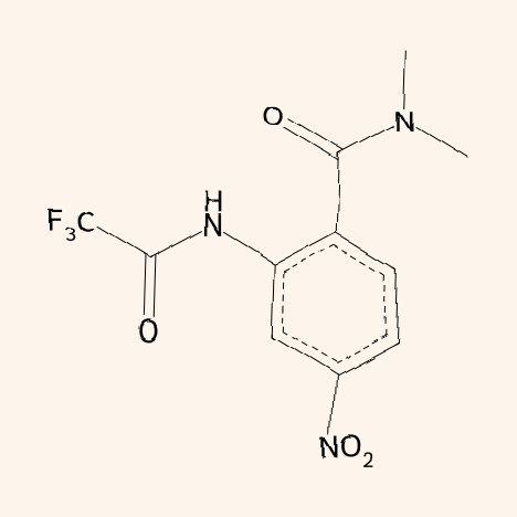 CN(C)C(=O)c1ccc([N+](=O)[O-])cc1NC(=O)C(F)(F)F